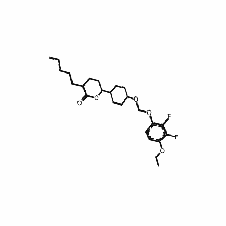 CCCCCC1CCC(C2CCC(OCOc3ccc(OCC)c(F)c3F)CC2)OC1=O